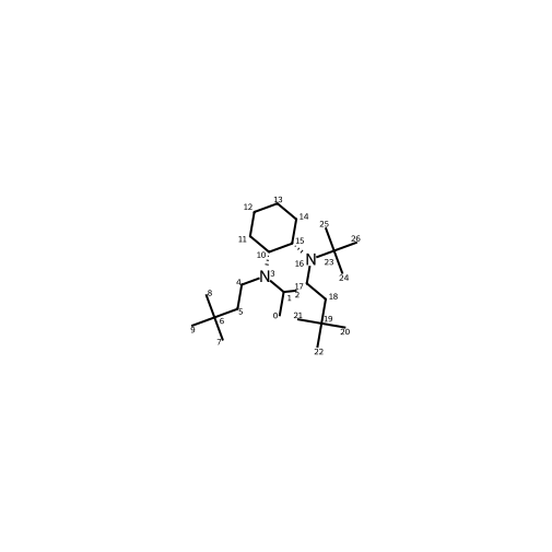 CC(C)N(CCC(C)(C)C)[C@@H]1CCCC[C@@H]1N(CCC(C)(C)C)C(C)(C)C